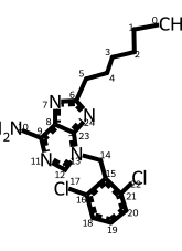 CCCCCCc1nc2c(N)ncn(Cc3c(Cl)cccc3Cl)c-2n1